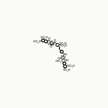 O=S(=O)(O)c1cc(S(=O)(=O)O)c2cc(Nc3nc(Cl)nc(NC4=CC=C(C=Cc5ccc(Nc6nc(Cl)nc(Nc7cc8c(S(=O)(=O)O)cc(S(=O)(=O)O)cc8cc7S(=O)(=O)O)n6)cc5)C(S(=O)(=O)O)(S(=O)(=O)O)C4)n3)c(S(=O)(=O)O)cc2c1